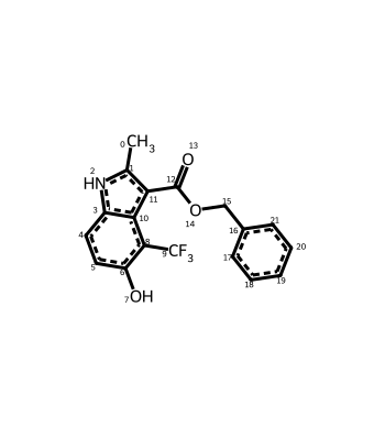 Cc1[nH]c2ccc(O)c(C(F)(F)F)c2c1C(=O)OCc1ccccc1